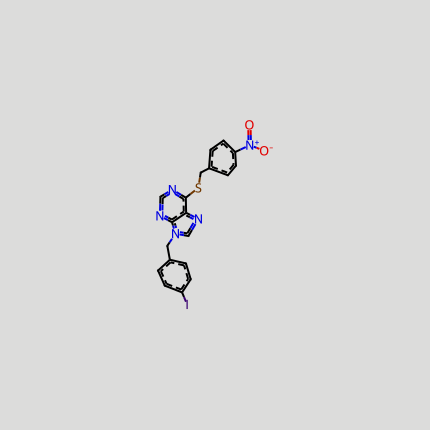 O=[N+]([O-])c1ccc(CSc2ncnc3c2ncn3Cc2ccc(I)cc2)cc1